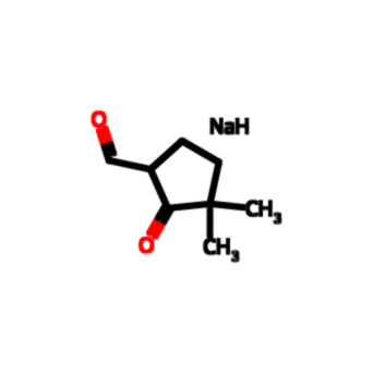 CC1(C)CCC(C=O)C1=O.[NaH]